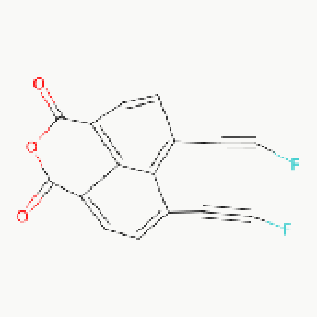 O=C1OC(=O)c2ccc(C#CF)c3c(C#CF)ccc1c23